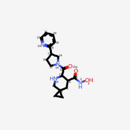 O=C(NO)C1CC2(CC2)CNC1C(=O)N1CCC(c2ccccn2)C1